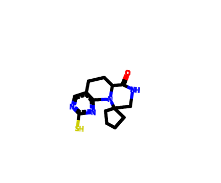 O=C1NCC2(CCCC2)N2c3nc(S)ncc3CCC12